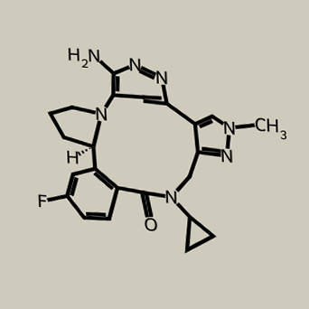 Cn1cc2c(n1)CN(C1CC1)C(=O)c1ccc(F)cc1[C@H]1CCCN1c1cc-2nnc1N